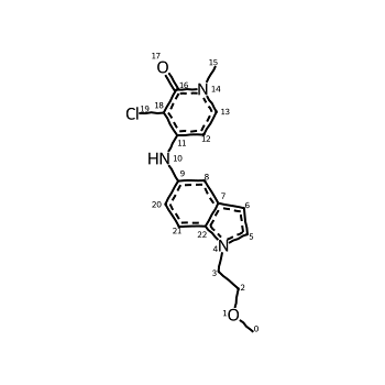 COCCn1ccc2cc(Nc3ccn(C)c(=O)c3Cl)ccc21